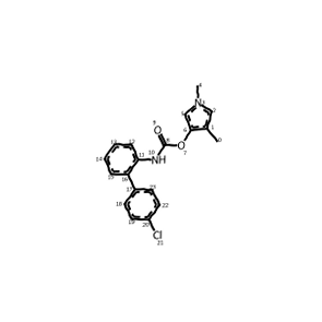 Cc1cn(C)cc1OC(=O)Nc1ccccc1-c1ccc(Cl)cc1